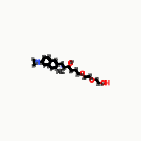 N#C/C(=C\c1ccc2cc(N3CC3)ccc2c1)C(=O)CCCOCCOCCO